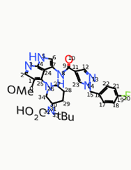 COc1cnc2[nH]cc(NC(=O)c3cnn(Cc4ccc(F)cc4)c3)c2c1N1CCCC(N(C(=O)O)C(C)(C)C)C1